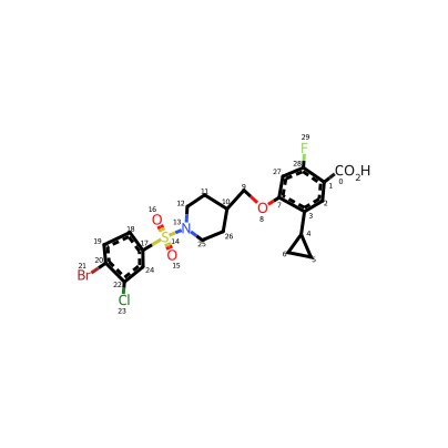 O=C(O)c1cc(C2CC2)c(OCC2CCN(S(=O)(=O)c3ccc(Br)c(Cl)c3)CC2)cc1F